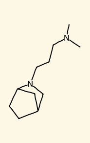 CN(C)CCCN1CC2CCC1C2